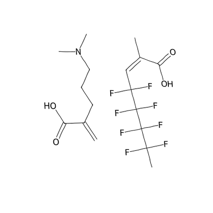 C=C(CCCN(C)C)C(=O)O.CC(=CC(F)(F)C(F)(F)C(F)(F)C(C)(F)F)C(=O)O